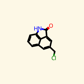 O=C1Nc2cccc3cc(CCl)cc1c23